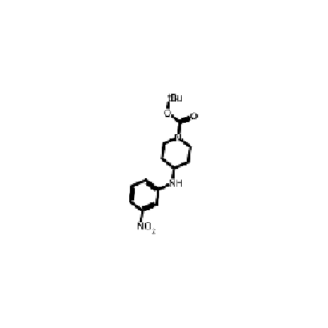 CC(C)(C)OC(=O)N1CCC(Nc2cccc([N+](=O)[O-])c2)CC1